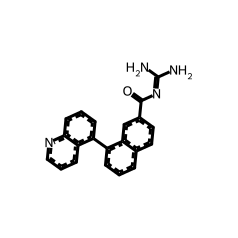 NC(N)=NC(=O)c1ccc2cccc(-c3cccc4ncccc34)c2c1